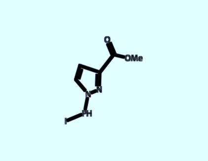 COC(=O)c1ccn(PI)n1